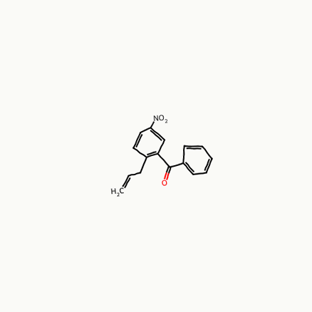 C=CCc1ccc([N+](=O)[O-])cc1C(=O)c1ccccc1